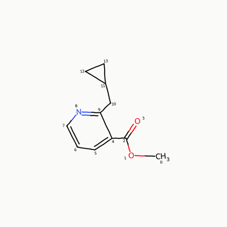 COC(=O)c1cccnc1CC1CC1